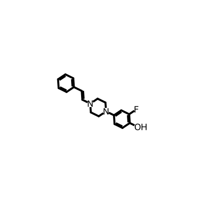 Oc1ccc(N2CCN(C=Cc3ccccc3)CC2)cc1F